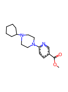 COC(=O)c1ccc(N2CCN(C3CCCCC3)CC2)nc1